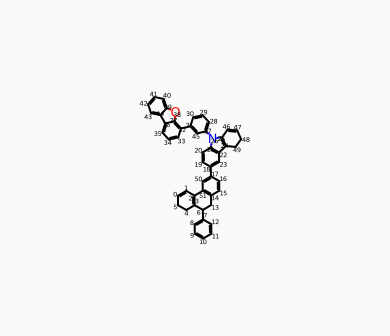 C1=CC2=C(CC1)C(c1ccccc1)Cc1ccc(-c3ccc4c(c3)c3c(n4-c4cccc(-c5cccc6c5oc5ccccc56)c4)C=CCC3)cc12